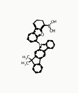 CC1(C)c2ccccc2-c2cc3c4ccccc4n(-c4cccc5c6c(oc45)=C(B(O)O)CCC=6)c3cc21